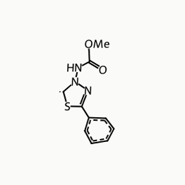 COC(=O)NN1[CH]SC(c2ccccc2)=N1